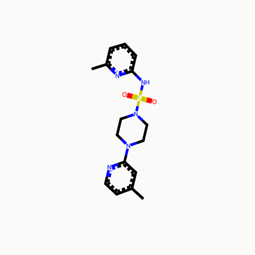 Cc1ccnc(N2CCN(S(=O)(=O)Nc3cccc(C)n3)CC2)c1